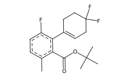 Cc1ccc(F)c(C2=CCC(F)(F)CC2)c1C(=O)OC(C)(C)C